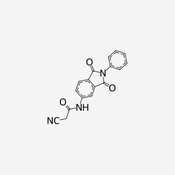 N#CCC(=O)Nc1ccc2c(c1)C(=O)N(c1ccccc1)C2=O